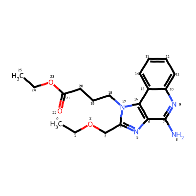 CCOCc1nc2c(N)nc3ccccc3c2n1CCCC(=O)OCC